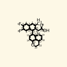 Cc1cc2cc(F)c(F)cc2c(-c2ccc3c4c(ccnc24)CCO3)c1CC(=O)O